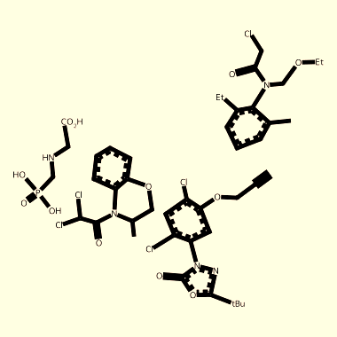 C#CCOc1cc(-n2nc(C(C)(C)C)oc2=O)c(Cl)cc1Cl.CC1COc2ccccc2N1C(=O)C(Cl)Cl.CCOCN(C(=O)CCl)c1c(C)cccc1CC.O=C(O)CNCP(=O)(O)O